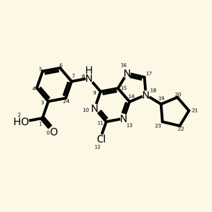 O=C(O)c1cccc(Nc2nc(Cl)nc3c2ncn3C2CCCC2)c1